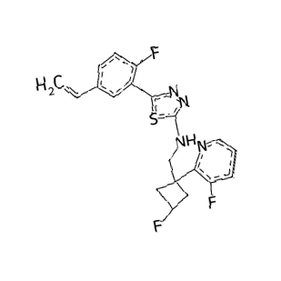 C=Cc1ccc(F)c(-c2nnc(NCC3(c4ncccc4F)CC(F)C3)s2)c1